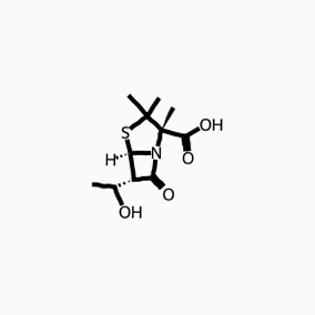 CC(O)[C@H]1C(=O)N2[C@@H]1SC(C)(C)[C@]2(C)C(=O)O